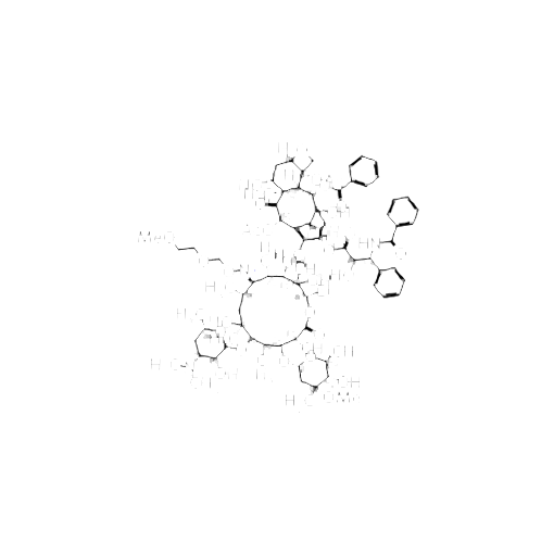 CC(=O)O[C@H]1C(=O)[C@@]2(C)[C@H]([C@H](OC(=O)c3ccccc3)[C@]3(O)C[C@H](OC(=O)[C@H](O)[C@@H](NC(=O)c4ccccc4)c4ccccc4)C(C)=C1C3(C)C)[C@]1(OC(C)=O)CO[C@@H]1C[C@@H]2O.CC[C@H]1OC(=O)[C@H](C)[C@@H](O[C@H]2C[C@@](C)(OC)[C@@H](O)[C@H](C)O2)[C@H](C)[C@@H](O[C@@H]2O[C@H](C)C[C@H](N(C)C)[C@H]2O)[C@](C)(O)C[C@@H](C)/C(=N\OCOCCOC)[C@H](C)[C@@H](O)[C@]1(C)O